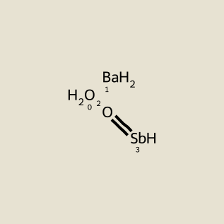 O.[BaH2].[O]=[SbH]